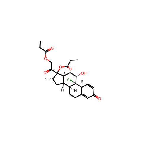 CCC(=O)OCC(=O)C1(OC(=O)CC)[C@@H](C)C[C@H]2[C@@H]3CCC4=CC(=O)C=C[C@]4(C)[C@@]3(Cl)[C@@H](O)C[C@@]21C